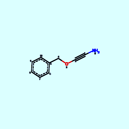 NC#COCc1ccccc1